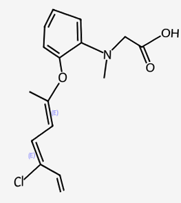 C=C/C(Cl)=C\C=C(/C)Oc1ccccc1N(C)CC(=O)O